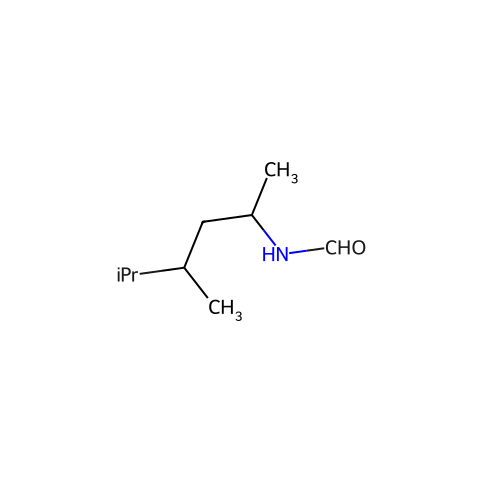 CC(CC(C)C(C)C)NC=O